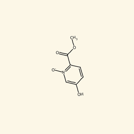 COC(=O)c1ccc(O)c[n+]1[O-]